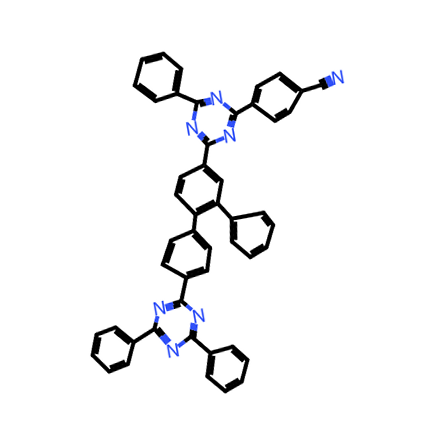 N#Cc1ccc(-c2nc(-c3ccccc3)nc(-c3ccc(-c4ccc(-c5nc(-c6ccccc6)nc(-c6ccccc6)n5)cc4)c(-c4ccccc4)c3)n2)cc1